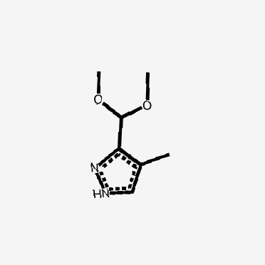 COC(OC)c1n[nH]cc1C